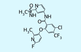 Cc1nc(F)ccc1Oc1cc(C(F)(F)F)c(Cl)cc1C(=O)Nc1ccnc([S@](C)(=N)=O)c1